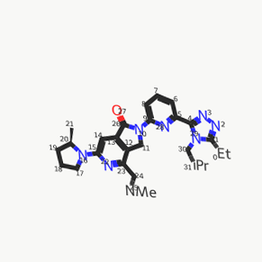 CCc1nnc(-c2cccc(N3Cc4c(cc(N5CCC[C@H]5C)nc4CNC)C3=O)n2)n1CC(C)C